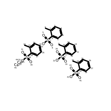 Cc1ccccc1S(=O)(=O)[O-].Cc1ccccc1S(=O)(=O)[O-].Cc1ccccc1S(=O)(=O)[O-].Cc1ccccc1S(=O)(=O)[O-].[Ca+2].[Ca+2]